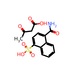 CC(=O)CC(=O)O.NC(=O)c1ccc(S(=O)(=O)O)c2ccccc12